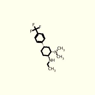 CCN[C@H]1CC[C@H](c2ccc(C(F)(F)F)cc2)C[C@@H]1N(C)C